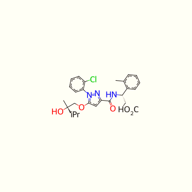 Cc1ccccc1[C@H](CC(=O)O)NC(=O)c1cc(OC[C@@](C)(O)C(C)C)n(-c2ccccc2Cl)n1